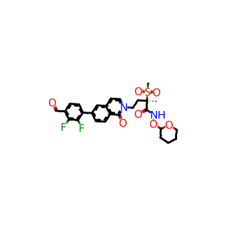 C[C@@](CCn1ccc2cc(-c3ccc(C=O)c(F)c3F)ccc2c1=O)(C(=O)NOC1CCCCO1)S(C)(=O)=O